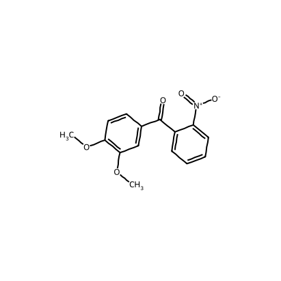 COc1ccc(C(=O)c2ccccc2[N+](=O)[O-])cc1OC